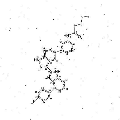 CCCCC(=O)Nc1cncc(-c2cnc3[nH]nc(-c4nc5c(-c6ccc(F)cc6)ccnc5[nH]4)c3c2)c1